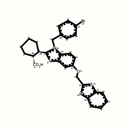 O=C(O)[C@@H]1CCCC[C@H]1c1nc2cc(OCc3nc4ccccc4s3)ccc2n1Cc1ccc(Br)cc1